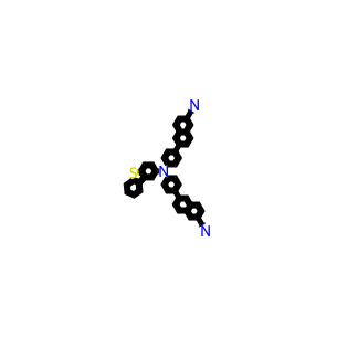 N#Cc1ccc2cc(-c3ccc(N(c4ccc(-c5ccc6cc(C#N)ccc6c5)cc4)c4ccc5sc6ccccc6c5c4)cc3)ccc2c1